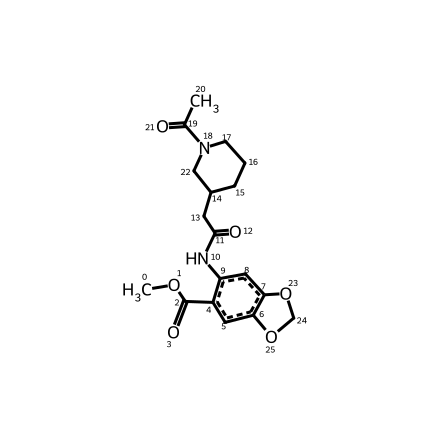 COC(=O)c1cc2c(cc1NC(=O)CC1CCCN(C(C)=O)C1)OCO2